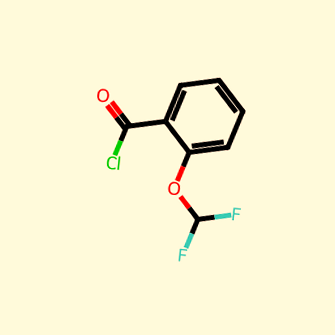 O=C(Cl)c1ccccc1OC(F)F